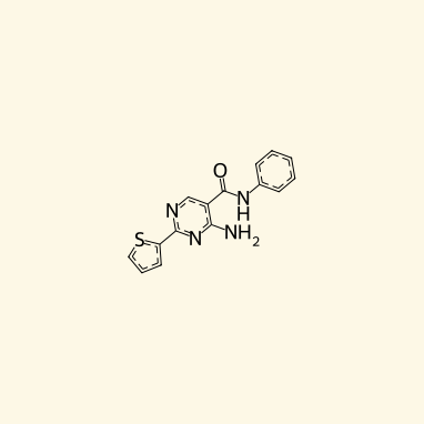 Nc1nc(-c2cccs2)ncc1C(=O)Nc1ccccc1